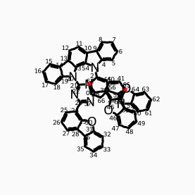 C1=CC(n2c3ccccc3c3ccc4c5ccccc5n(-c5nc(-c6cccc7c6oc6ccccc67)nc(-c6cccc7c6oc6ccccc67)n5)c4c32)=CC(c2nc3ccccc3o2)C1